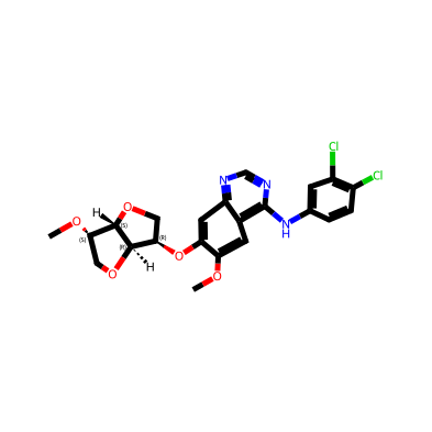 COc1cc2c(Nc3ccc(Cl)c(Cl)c3)ncnc2cc1O[C@@H]1CO[C@@H]2[C@@H]1OC[C@@H]2OC